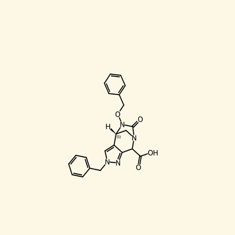 O=C(O)C1c2nn(Cc3ccccc3)cc2[C@H]2CN1C(=O)N2OCc1ccccc1